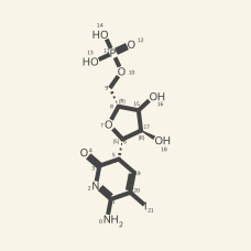 NC1=NC(=O)C([C@@H]2O[C@H](COP(=O)(O)O)C(O)[C@H]2O)C=C1I